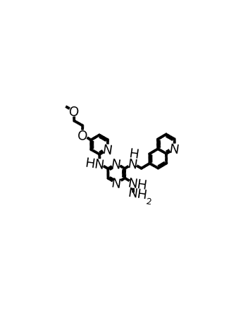 COCCOc1ccnc(Nc2cnc(NN)c(NCc3ccc4ncccc4c3)n2)c1